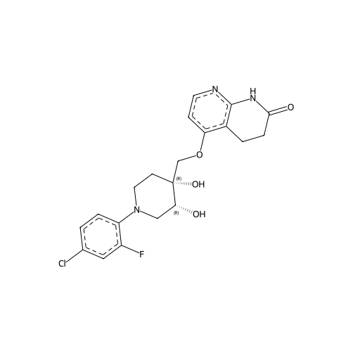 O=C1CCc2c(OC[C@]3(O)CCN(c4ccc(Cl)cc4F)C[C@H]3O)ccnc2N1